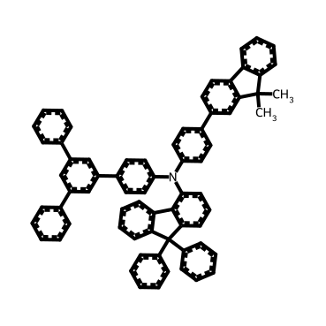 CC1(C)c2ccccc2-c2ccc(-c3ccc(N(c4ccc(-c5cc(-c6ccccc6)cc(-c6ccccc6)c5)cc4)c4cccc5c4-c4ccccc4C5(c4ccccc4)c4ccccc4)cc3)cc21